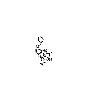 C[C@H]1CCC2(O)[C@H]3Cc4ccc(OCc5ccccc5)c5c4[C@@]2(CCN3CC2CC2)[C@H]1O5